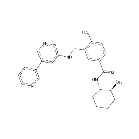 Cc1ccc(C(=O)N[C@H]2CCCC[C@@H]2O)cc1CNc1cncc(-c2cccnc2)c1